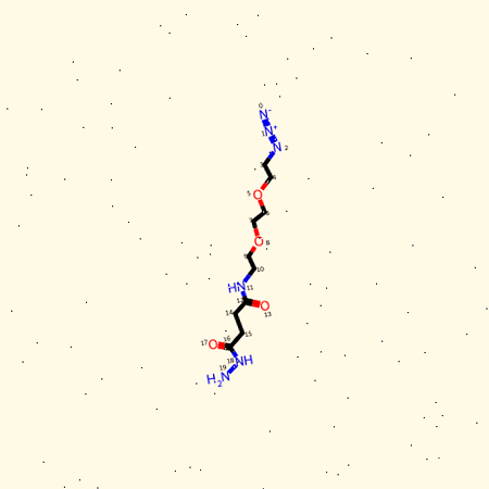 [N-]=[N+]=NCCOCCOCCNC(=O)CCC(=O)NN